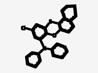 Clc1cc2c(c(N(c3ccccc3)c3ccccc3)c1)Oc1ccc3ccccc3c1S2